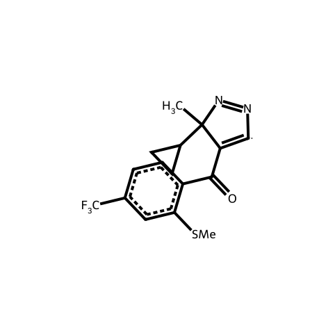 CSc1cc(C(F)(F)F)ccc1C(=O)C1=[C]N=NC1(C)C1CC1